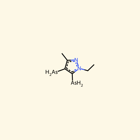 CCn1nc(C)c([AsH2])c1[AsH2]